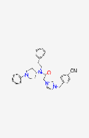 N#Cc1ccc(CN2C=CN(CC(=O)N(CCc3ccccc3)C3CCN(c4ccccc4)CC3)C2)cc1